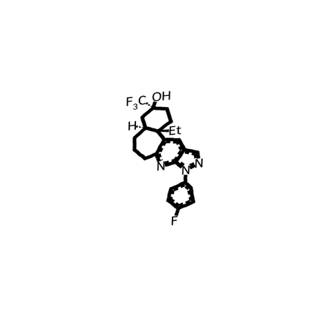 CC[C@]12CC[C@@](O)(C(F)(F)F)C[C@@H]1CCCc1nc3c(cnn3-c3ccc(F)cc3)cc12